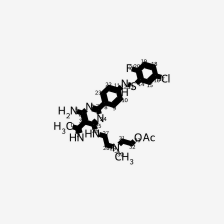 CC(=N)c1c(N)nc(-c2ccc(NSc3cc(Cl)ccc3F)cc2)nc1NCCN(C)CCOC(C)=O